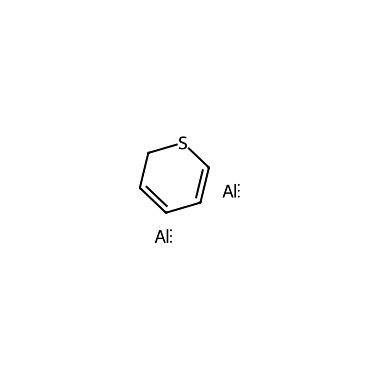 C1=CCSC=C1.[Al].[Al]